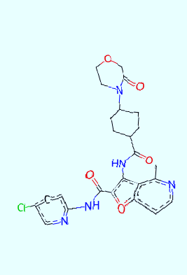 Cc1nccc2oc(C(=O)Nc3ccc(Cl)cn3)c(NC(=O)C3CCC(N4CCOCC4=O)CC3)c12